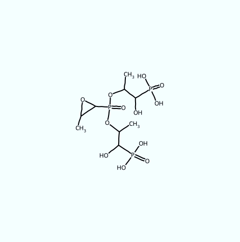 CC(OP(=O)(OC(C)C(O)P(=O)(O)O)C1OC1C)C(O)P(=O)(O)O